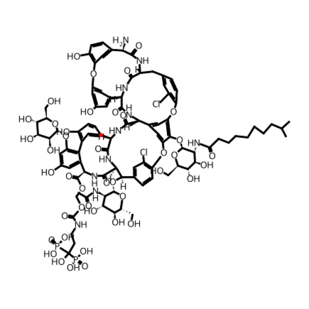 CC(=O)N[C@H]1[C@H](O[C@@H]2c3ccc(c(Cl)c3)Oc3cc4cc(c3O[C@@H]3O[C@H](CO)[C@@H](O)[C@H](O)[C@H]3NC(=O)CCCCCCCC(C)C)Oc3ccc(cc3Cl)C[C@H]3NC(=O)[C@H](N)c5ccc(O)c(c5)Oc5cc(O)cc(c5)[C@H](NC3=O)C(=O)N[C@H]4C(=O)N[C@H]3C(=O)N[C@@H]2C(=O)N[C@@H](C(=O)OCOC(=O)NCCC(O)(P(=O)(O)O)P(=O)(O)O)c2cc(O)cc(O[C@H]4O[C@H](CO)[C@@H](O)[C@H](O)[C@@H]4O)c2-c2cc3ccc2O)O[C@H](CO)[C@@H](O)[C@@H]1O